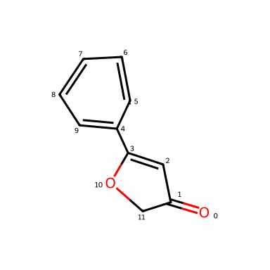 O=C1C=C(c2[c]cccc2)OC1